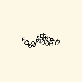 CN1Cc2cc(-c3ccco3)sc2C(O)=C1C(=O)Nc1nc(-c2ccc(Oc3ccc(F)cc3)o2)cs1